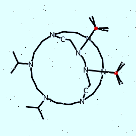 CC(C)N1CCN2CCN(C(C)C)CCN(C(C)C)CCN(CCN(C(C)C)CC1)CCN(C(C)C)CCN(C(C)C)CC2